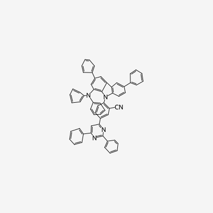 N#Cc1cc(-c2cc(-c3ccccc3)nc(-c3ccccc3)n2)ccc1-n1c2ccc(-c3ccccc3)cc2c2cc(-c3ccccc3)cc(N(c3ccccc3)c3ccccc3)c21